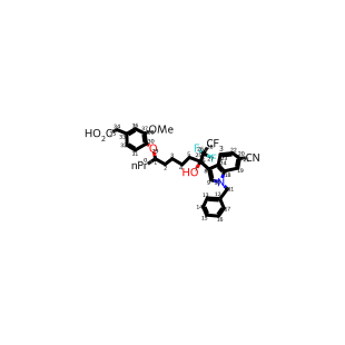 CCCC(CCCCC(O)(c1cn(Cc2ccccc2)c2cc(C#N)ccc12)C(F)(F)C(F)(F)F)Oc1ccc(CC(=O)O)cc1OC